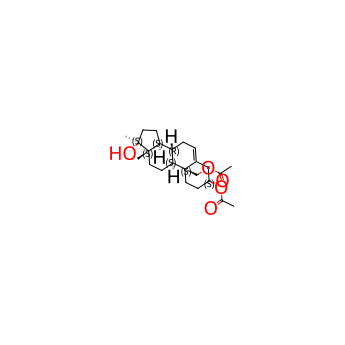 CC(=O)OC[C@]12CC[C@H](OC(C)=O)CC1=CC[C@@H]1[C@@H]2CC[C@@]2(C)[C@H]1CC[C@]2(C)O